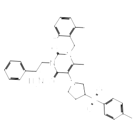 Cc1ccc(S(=O)(=O)C2CCN(c3c(C)n(Cc4c(F)cccc4F)c(=O)n(C[C@H](N)c4ccccc4)c3=O)C2)cc1